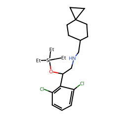 CC[Si](CC)(CC)OC(CNCC1CCC2(CC1)CC2)c1c(Cl)cccc1Cl